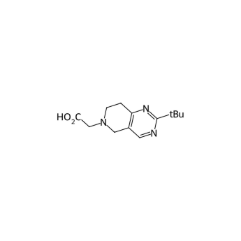 CC(C)(C)c1ncc2c(n1)CCN(CC(=O)O)C2